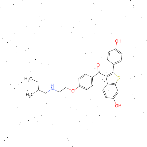 CCC(C)CNCCOc1ccc(C(=O)c2c(-c3ccc(O)cc3)sc3cc(O)ccc23)cc1